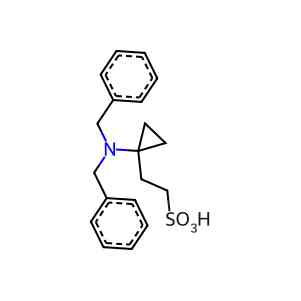 O=S(=O)(O)CCC1(N(Cc2ccccc2)Cc2ccccc2)CC1